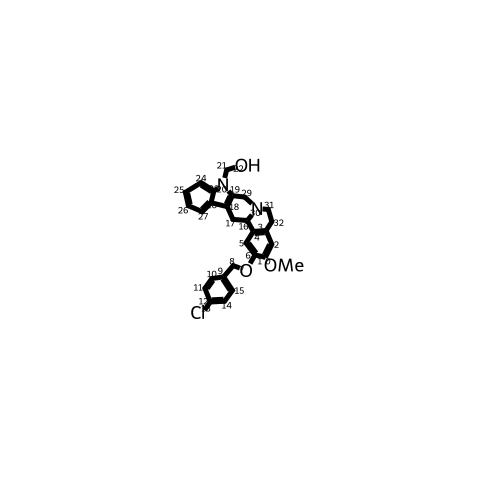 COc1cc2c(cc1OCc1ccc(Cl)cc1)C1Cc3c(n(CO)c4ccccc34)CN1CC2